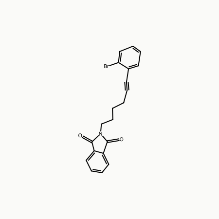 O=C1c2ccccc2C(=O)N1CCCCC#Cc1ccccc1Br